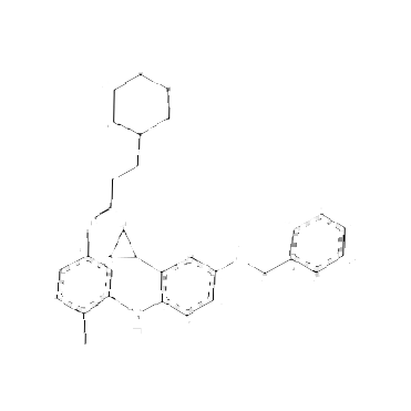 Cc1ccc(OCCCC2CCCCC2)cc1Nc1ccc(OCc2ccccc2)cc1C1CC1